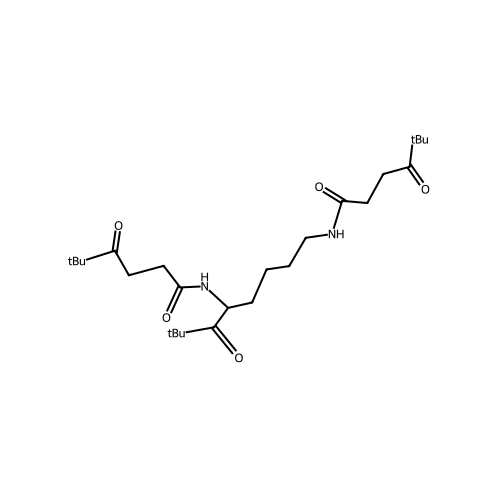 CC(C)(C)C(=O)CCC(=O)NCCCCC(NC(=O)CCC(=O)C(C)(C)C)C(=O)C(C)(C)C